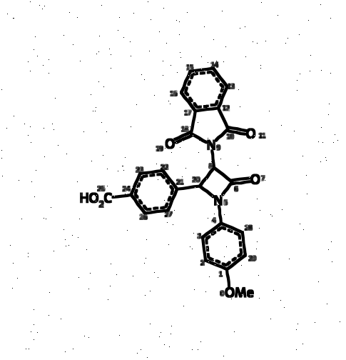 COc1ccc(N2C(=O)C(N3C(=O)c4ccccc4C3=O)C2c2ccc(C(=O)O)cc2)cc1